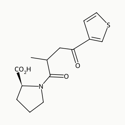 CC(CC(=O)c1ccsc1)C(=O)N1CCC[C@H]1C(=O)O